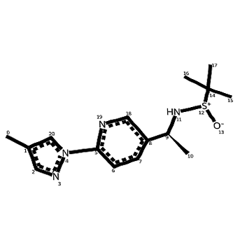 Cc1cnn(-c2ccc([C@H](C)N[S+]([O-])C(C)(C)C)cn2)c1